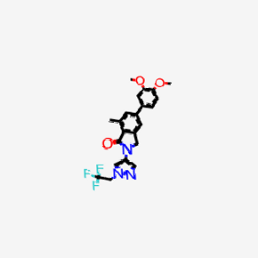 COc1ccc(-c2cc(C)c3c(c2)CN(c2cnn(CC(F)(F)F)c2)C3=O)cc1OC